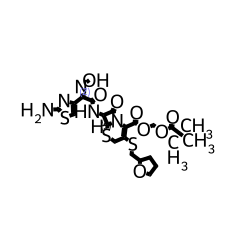 CC(C)(C)C(=O)OCOC(=O)C1=C(SCC2CCCO2)CS[C@H]2C(NC(=O)/C(=N\O)c3csc(N)n3)C(=O)N12